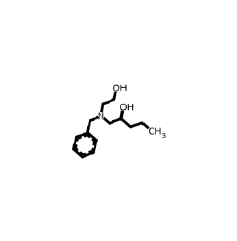 CCCC(O)CN(CCO)Cc1ccccc1